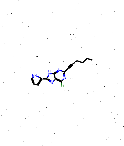 CCCCC#Cc1nc(Cl)c2nc(-c3ccc[nH]3)[nH]c2n1